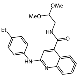 CCc1ccc(Nc2cc(C(=O)NCC(OC)OC)c3c(n2)=CC=C=C=3)cc1